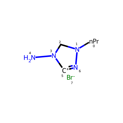 CCCN1CN(N)[C+]=N1.[Br-]